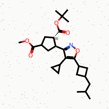 COC(=O)C1CC(c2noc(C3CC(CC(C)C)C3)c2C2CC2)[C@@H](C(=O)OC(C)(C)C)C1